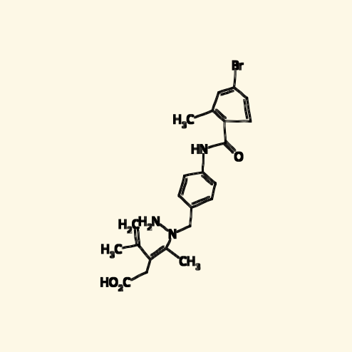 C=C(C)/C(CC(=O)O)=C(/C)N(N)Cc1ccc(NC(=O)c2ccc(Br)cc2C)cc1